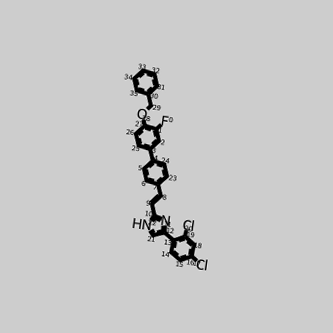 Fc1cc(-c2ccc(/C=C/c3nc(-c4ccc(Cl)cc4Cl)c[nH]3)cc2)ccc1OCc1ccccc1